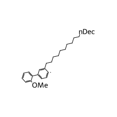 CCCCCCCCCCCCCCCCCCCCc1[c]ccc(-c2ccccc2OC)c1